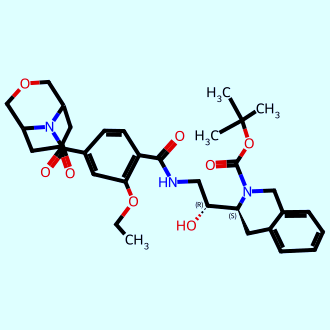 CCOc1cc(C(=O)N2C3COCC2CC(=O)C3)ccc1C(=O)NC[C@@H](O)[C@@H]1Cc2ccccc2CN1C(=O)OC(C)(C)C